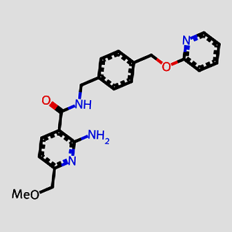 COCc1ccc(C(=O)NCc2ccc(COc3ccccn3)cc2)c(N)n1